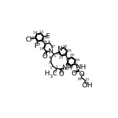 CC1CCCC(N2CCC(c3c(F)ccc(Cl)c3F)=CC2=O)c2cc(ccn2)-c2ccc(NC(=O)OCCO)cc2NC1=O